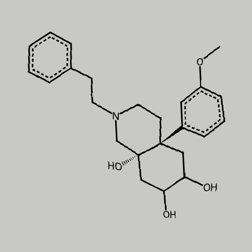 COc1cccc([C@]23CCN(CCc4ccccc4)C[C@]2(O)CC(O)C(O)C3)c1